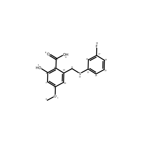 COc1cc(O)c(C(=O)O)c(CSc2cccc(F)c2)c1